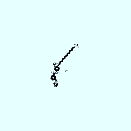 CCCCCCCCCCCCCCOc1ccc(NC(=O)c2cccc(C[n+]3ccsc3)c2)cc1OC.[Br-]